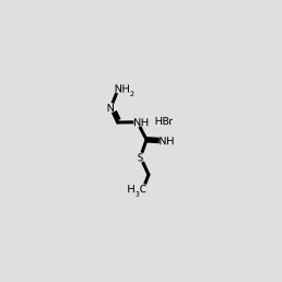 Br.CCSC(=N)N/C=N\N